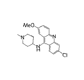 COc1ccc2nc3cc(Cl)ccc3c(NC3CCN(C)CC3)c2c1